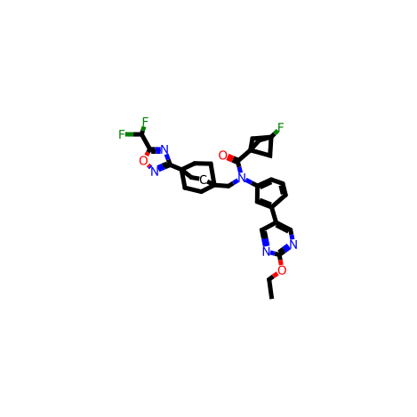 CCOc1ncc(-c2cccc(N(CC34CCC(c5noc(C(F)F)n5)(CC3)CC4)C(=O)C34CC(F)(C3)C4)c2)cn1